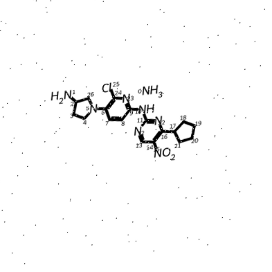 N.NC1CCN(c2ccc(Nc3ncc([N+](=O)[O-])c(C4CCCC4)n3)nc2Cl)C1